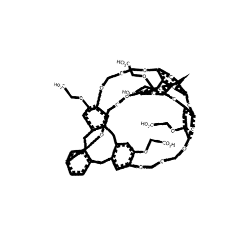 O=C(O)COc1cc2c3cc1OCCCOc1ccc4c(c1)Cc1cc(OCC(=O)O)c5cc1Cc1cc(OCC(=O)O)c(cc1C4)OCCCOc1cc(c(cc1OCC(=O)O)C3)Cc1cc(OCC(=O)O)c(cc1C2)OCCCO5